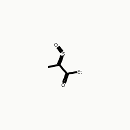 CCC(=O)C(C)=S=O